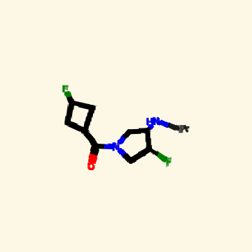 CC(C)N[C@@H]1CN(C(=O)C2CC(F)C2)C[C@@H]1F